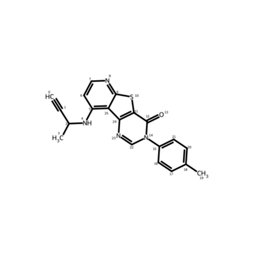 C#CC(C)Nc1ccnc2sc3c(=O)n(-c4ccc(C)cc4)cnc3c12